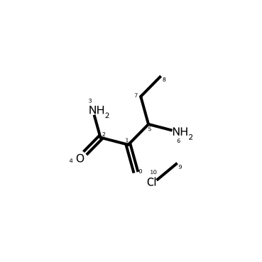 C=C(C(N)=O)C(N)CC.CCl